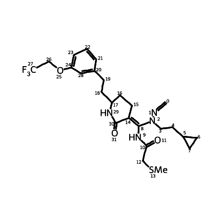 C=NN(CCC1CC1)/C(NC(=O)CSC)=C1\CCC(CCc2cccc(OCC(F)(F)F)c2)NC1=O